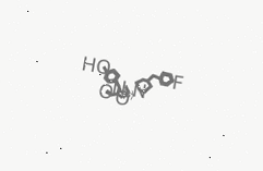 O=CC1O[C@@H](CN2CCC(Cc3ccc(F)cc3)CC2)CN1c1ccc(O)cc1